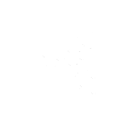 CN1CCN(c2nc(-c3cnc(N)nc3)nc(N3CCOCC3)n2)CC1